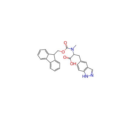 CN(C(=O)OCC1c2ccccc2-c2ccccc21)C(Cc1ccc2[nH]ncc2c1)C(=O)O